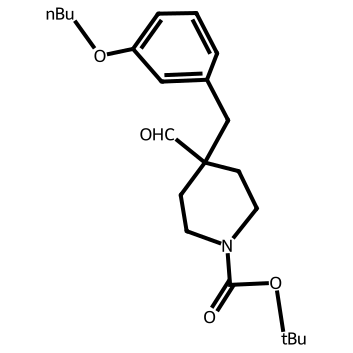 CCCCOc1cccc(CC2(C=O)CCN(C(=O)OC(C)(C)C)CC2)c1